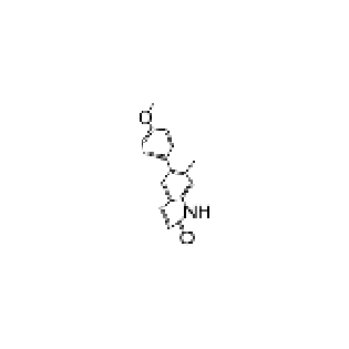 COc1ccc(-c2cc3ccc(=O)[nH]c3cc2C)cc1